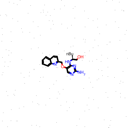 CCCC[C@@H](CO)Nc1nc(N)ncc1OCc1ccc2ccccc2n1